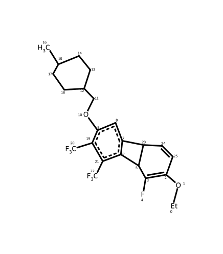 CCOC1=C(F)C2c3c(cc(OCC4CCC(C)CC4)c(C(F)(F)F)c3C(F)(F)F)C2C=C1